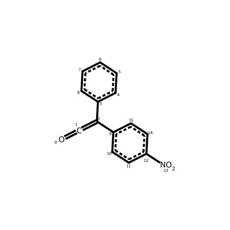 O=C=C(c1ccccc1)c1ccc([N+](=O)[O-])cc1